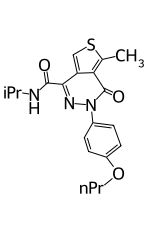 CCCOc1ccc(-n2nc(C(=O)NC(C)C)c3csc(C)c3c2=O)cc1